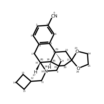 N#Cc1ccc2c(c1)[C@]13CCN(CC4CCC4)[C@H](C2)[C@@H]1CCC1(C3)OCCO1